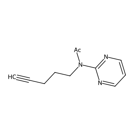 C#CCCCN(C(C)=O)c1ncccn1